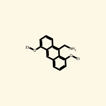 CCOc1cccc2c(CN)c3c(OCC)cccc3cc12